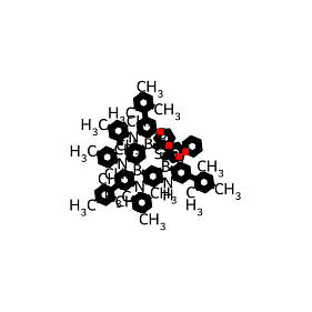 Cc1cc(C)c(-c2cc3c4c(c2)N(c2ccccc2)c2c(sc5ccccc25)B4c2cc4c(cc2N3)N(c2c(C)cc(C)cc2C)c2cc(-c3c(C)cc(C)cc3C)cc3c2B4c2cc4c(cc2N3c2c(C)cc(C)cc2C)N(c2c(C)cc(C)cc2C)c2cc(-c3c(C)cc(C)cc3C)cc3c2B4c2sc4ccccc4c2O3)c(C)c1